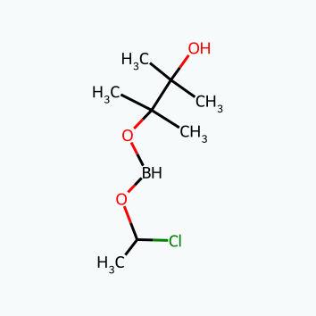 CC(Cl)OBOC(C)(C)C(C)(C)O